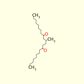 CCCCCCCCC(=O)CCC(C)CC(=O)CCCCCCCC